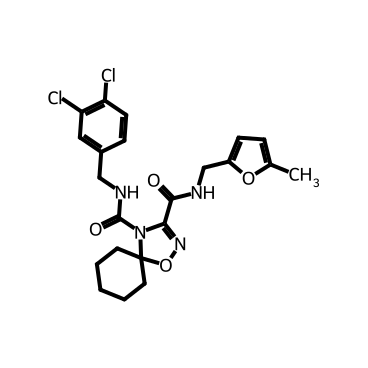 Cc1ccc(CNC(=O)C2=NOC3(CCCCC3)N2C(=O)NCc2ccc(Cl)c(Cl)c2)o1